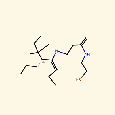 C=C(CCNC(=CCC)[C@H](CCC)C(C)(C)CC)NCCS